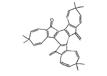 C=c1c2c(c3c1c1c4c(c(=C)c1c1c5c(c(=O)c31)C=CC(C)(C)C=C5)C=CC(C)(C)C=C4)C=CC(C)(C)C=C2